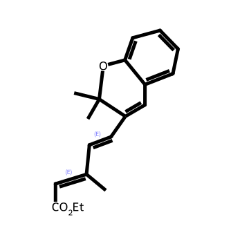 CCOC(=O)/C=C(C)/C=C/C1=Cc2ccccc2OC1(C)C